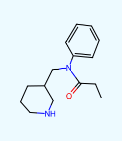 CCC(=O)N(CC1CCCNC1)c1ccccc1